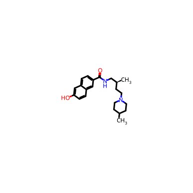 CC1CCN(CC[C@H](C)CNC(=O)c2ccc3cc(O)ccc3c2)CC1